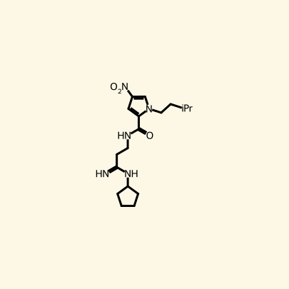 CC(C)CCn1cc([N+](=O)[O-])cc1C(=O)NCCC(=N)NC1CCCC1